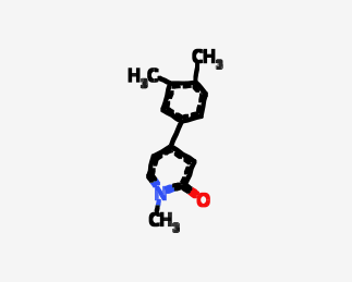 Cc1ccc(-c2ccn(C)c(=O)c2)cc1C